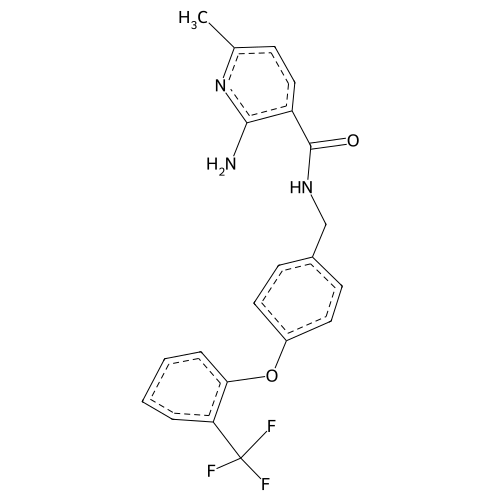 Cc1ccc(C(=O)NCc2ccc(Oc3ccccc3C(F)(F)F)cc2)c(N)n1